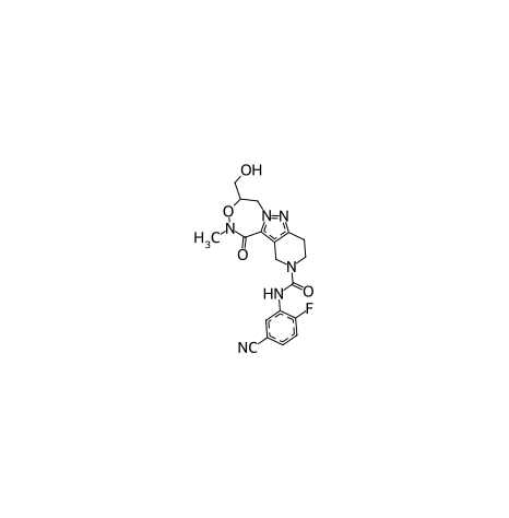 CN1OC(CO)Cn2nc3c(c2C1=O)CN(C(=O)Nc1cc(C#N)ccc1F)CC3